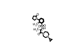 [CH2][C@H](NS(=O)(=O)c1cccc(N2CCCC2=O)c1C)C(=O)N1CCCN(C2CC2)CC1